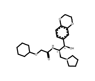 O=C(COC1CCCCC1)N[C@H](CN1CCCC1)[C@H](O)c1ccc2c(c1)OCCO2